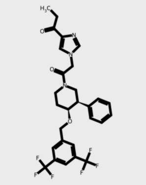 CCC(=O)c1cn(CC(=O)N2CC[C@H](OCc3cc(C(F)(F)F)cc(C(F)(F)F)c3)[C@H](c3ccccc3)C2)cn1